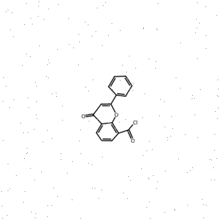 O=C(Cl)c1cccc2c(=O)cc(-c3ccccc3)oc12